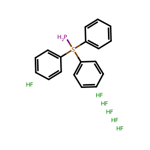 F.F.F.F.F.F.PS(c1ccccc1)(c1ccccc1)c1ccccc1